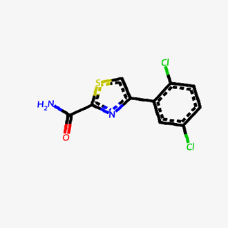 NC(=O)c1nc(-c2cc(Cl)ccc2Cl)cs1